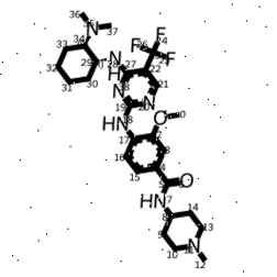 COc1cc(C(=O)NC2CCN(C)CC2)ccc1Nc1ncc(C(F)(F)F)c(N[C@@H]2CCCC[C@H]2N(C)C)n1